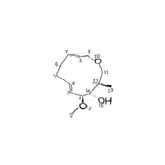 CO[C@H]1/C=C/CC/C=C/COC[C@@H](C)[C@@H]1O